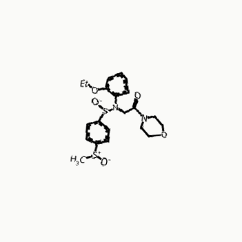 CCOc1ccccc1N(CC(=O)N1CCOCC1)[S+]([O-])c1ccc([S+](C)[O-])cc1